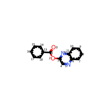 O=C(Oc1cnc2ccccc2n1)c1ccccc1